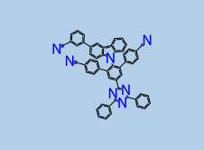 N#Cc1ccc(-c2cc(-c3nc(-c4ccccc4)nc(-c4ccccc4)n3)cc(-c3ccc(C#N)cc3)c2-n2c3ccccc3c3cc(-c4cccc(C#N)c4)ccc32)cc1